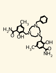 Cc1cc(CN2CCN(Cc3ccccc3)CCN(Cc3cc(C)cc(C(N)=O)c3O)CC2)c(O)c(C(N)=O)c1